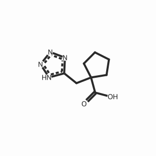 O=C(O)C1(Cc2nnn[nH]2)CCCC1